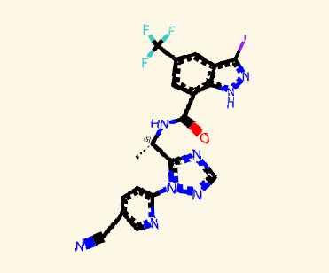 C[C@H](NC(=O)c1cc(C(F)(F)F)cc2c(I)n[nH]c12)c1ncnn1-c1ccc(C#N)cn1